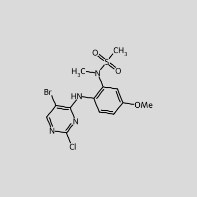 COc1ccc(Nc2nc(Cl)ncc2Br)c(N(C)S(C)(=O)=O)c1